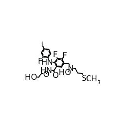 CSCCCN(O)Cc1cc(C(=O)NOCCO)c(Nc2ccc(I)cc2F)c(F)c1F